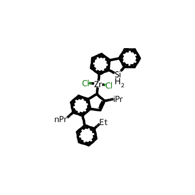 CCCc1ccc2c(c1-c1ccccc1CC)C=C(C(C)C)[CH]2[Zr]([Cl])([Cl])[c]1cccc2c1[SiH2]c1ccccc1-2